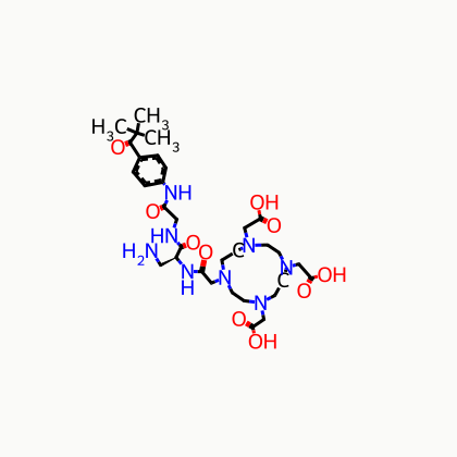 CC(C)(C)C(=O)c1ccc(NC(=O)CNC(=O)[C@H](CN)NC(=O)CN2CCN(CC(=O)O)CCN(CC(=O)O)CCN(CC(=O)O)CC2)cc1